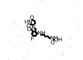 O=C(O)NCCCCCNc1cc(F)cc2c1CN(C1CCC(=O)NC1=O)C2=O